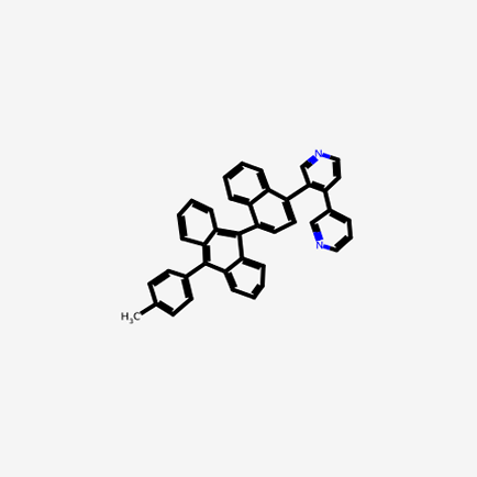 Cc1ccc(-c2c3ccccc3c(-c3ccc(-c4cnccc4-c4cccnc4)c4ccccc34)c3ccccc23)cc1